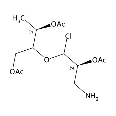 CC(=O)OCC(OC(Cl)[C@H](CN)OC(C)=O)[C@@H](C)OC(C)=O